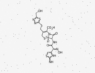 N=c1[nH]c(C(=NO)C(=O)NC2C(=O)N3C(C(=O)O)=C(CSc4nnc(CO)s4)CS[C@@H]23)cs1